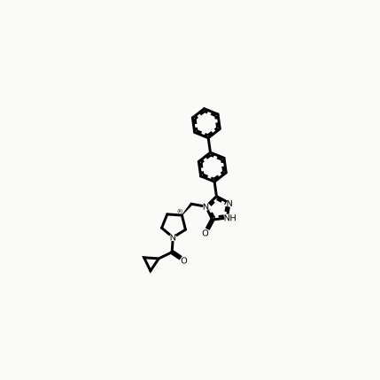 O=C(C1CC1)N1CC[C@@H](Cn2c(-c3ccc(-c4ccccc4)cc3)n[nH]c2=O)C1